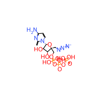 C=C1N=C(N)C=CN1[C@@H]1O[C@](CN=[N+]=[N-])(COP(=O)(O)OP(=O)(O)OP(=O)(O)O)[C@@H](O)[C@H]1O